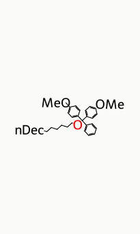 [CH2]CCCCCCCCCCCCCCCOC(c1ccccc1)(c1ccc(OC)cc1)c1ccc(OC)cc1